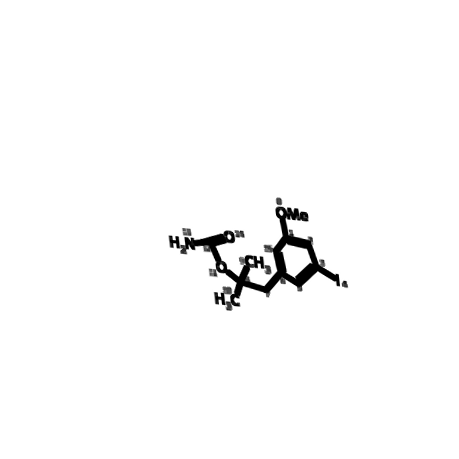 COc1cc(I)cc(CC(C)(C)OC(N)=O)c1